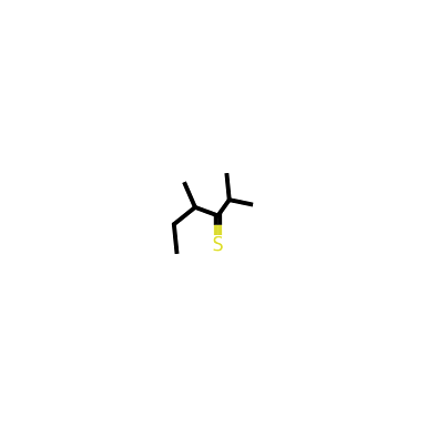 CCC(C)C(=S)C(C)C